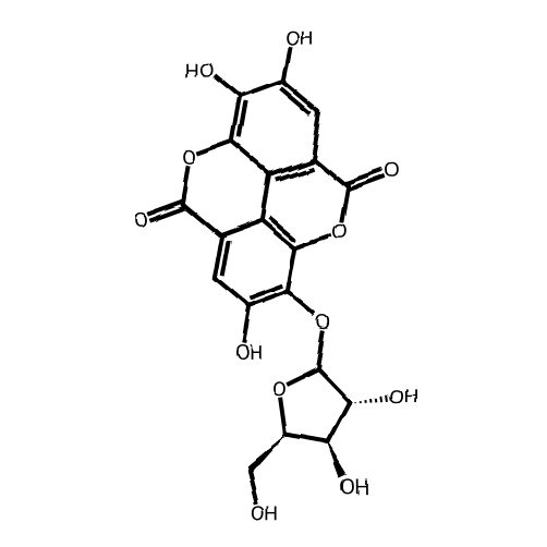 O=c1oc2c(OC3O[C@H](CO)[C@H](O)[C@H]3O)c(O)cc3c(=O)oc4c(O)c(O)cc1c4c23